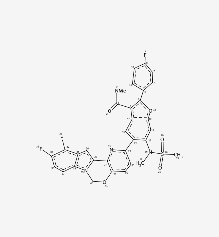 CNC(=O)c1c(-c2ccc(F)cc2)oc2cc(N(C)S(C)(=O)=O)c(-c3ccc4c(n3)-c3cc5c(F)c(F)ccc5n3CO4)cc12